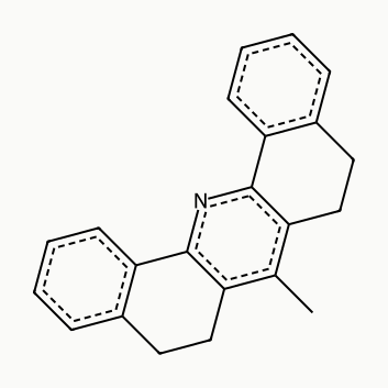 Cc1c2c(nc3c1CCc1ccccc1-3)-c1ccccc1CC2